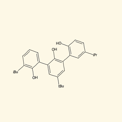 CCC(C)c1cccc(-c2cc(C(C)(C)C)cc(-c3cc(C(C)C)ccc3O)c2O)c1O